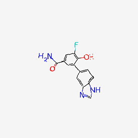 NC(=O)c1cc(F)c(O)c(-c2ccc3[nH]cnc3c2)c1